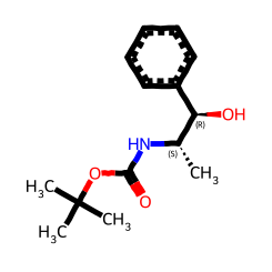 C[C@H](NC(=O)OC(C)(C)C)[C@H](O)c1ccccc1